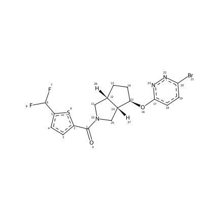 O=C(c1ccc(C(F)F)s1)N1C[C@@H]2CC[C@@H](Oc3ccc(Br)nn3)[C@@H]2C1